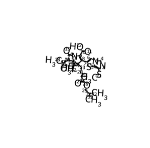 CSc1ncn2cc(C3=C(C(=O)O)N4C(=O)[C@H]([C@@H](C)O)[C@@H]4[C@@]3(C)CCOC(=O)OCC(C)C)sc12